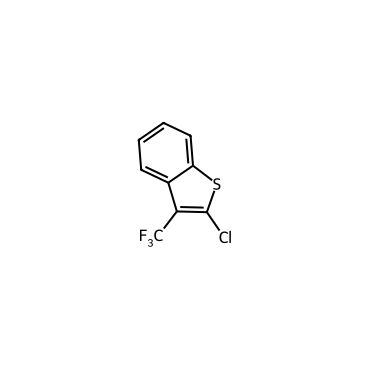 FC(F)(F)c1c(Cl)sc2ccccc12